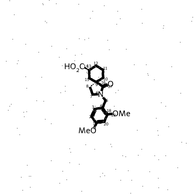 COc1ccc(CN2CC[C@]3(CCC[C@H](C(=O)O)C3)C2=O)c(OC)c1